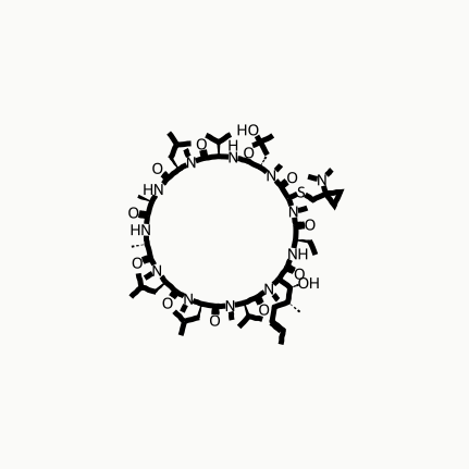 C/C=C/C[C@@H](C)[C@@H](O)C1C(=O)N[C@H](CC)C(=O)N(C)C(SCC2(N(C)C)CC2)C(=O)N(C)[C@@H](CC(C)(C)O)C(=O)N[C@H](C(C)C)C(=O)N(C)[C@H](CC(C)C)C(=O)N[C@H](C)C(=O)N[C@@H](C)C(=O)N(C)[C@H](CC(C)C)C(=O)N(C)[C@H](CC(C)C)C(=O)N(C)[C@H](C(C)C)C(=O)N1C